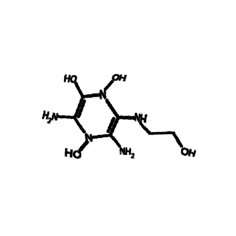 NC1=C(O)N(O)C(NCCO)=C(N)N1O